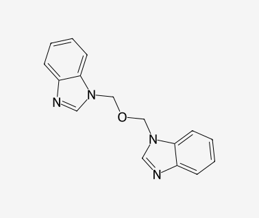 c1ccc2c(c1)ncn2COCn1cnc2ccccc21